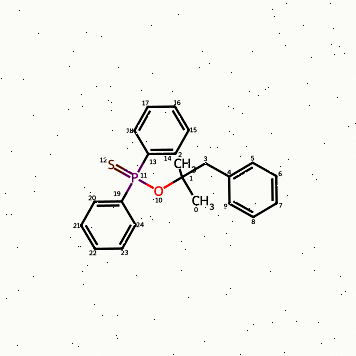 CC(C)(Cc1ccccc1)OP(=S)(c1ccccc1)c1ccccc1